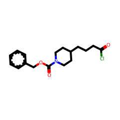 O=C(Cl)CCCC1CCN(C(=O)OCc2ccccc2)CC1